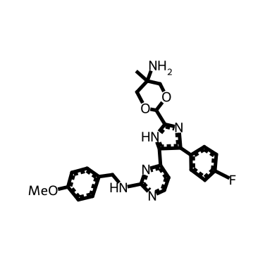 COc1ccc(CNc2nccc(-c3[nH]c(C4OCC(C)(N)CO4)nc3-c3ccc(F)cc3)n2)cc1